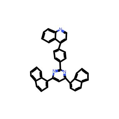 c1ccc2c(-c3cc(-c4cccc5ccccc45)nc(-c4ccc(-c5ccnc6ccccc56)cc4)n3)cccc2c1